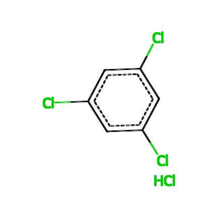 Cl.Clc1cc(Cl)cc(Cl)c1